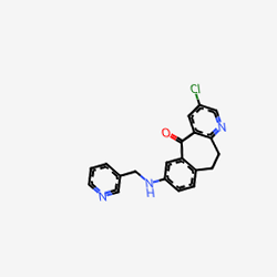 O=C1c2cc(NCc3cccnc3)ccc2CCc2ncc(Cl)cc21